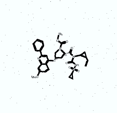 C=CC1CC1N(C(=O)NS(=O)(=O)C1CC1)C(=O)[C@@H]1C[C@@H](Oc2cc(-c3ccccc3)nc3cc(OC)ccc23)CN1C(=O)OC(C)(C)C